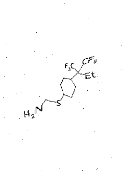 CCC(C1CCC(SCN)CC1)(C(F)(F)F)C(F)(F)F